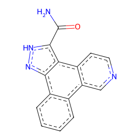 NC(=O)c1[nH]nc2c3ccccc3c3cnccc3c12